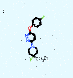 CCOC(=O)C1(F)CCN(c2ccc(Oc3ccc(F)cc3)nn2)CC1